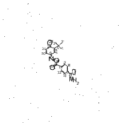 CC(C)(C)C1=C/C(=N\OC(=O)c2ccc(C(N)=O)cc2)C=CC1=O